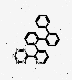 c1ccc(-c2ccccc2-c2ccccc2-c2cccnc2-c2nnnnn2)cc1